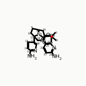 CC(C)(C)OC(=O)N1C2CCC1(c1ccc(N)nc1)CN(c1ccc(N)nc1)C(=O)C2